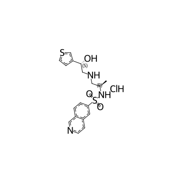 C[C@H](CNC[C@@H](O)c1ccsc1)NS(=O)(=O)c1ccc2cnccc2c1.Cl